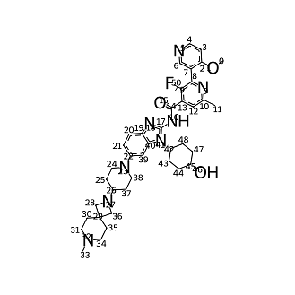 COc1ccncc1-c1nc(C)cc(C(=O)Nc2nc3ccc(N4CCC(N5CC6(CCN(C)CC6)C5)CC4)cc3n2[C@H]2CC[C@@H](O)CC2)c1F